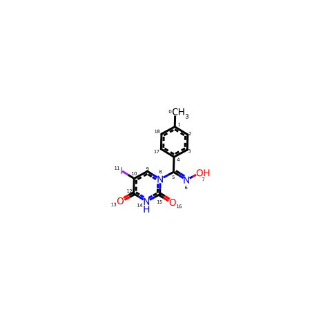 Cc1ccc(/C(=N\O)n2cc(I)c(=O)[nH]c2=O)cc1